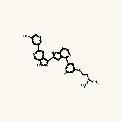 CN(C)CCOc1cc(F)cc(-c2nccc3[nH]c(-c4n[nH]c5cnc(-c6cncc(O)c6)cc45)cc23)c1